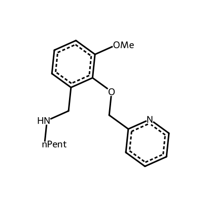 CCCCCNCc1cccc(OC)c1OCc1ccccn1